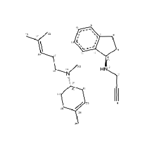 C#CCN[C@@H]1CCc2ccccc21.CC(C)=CCCN(C)[C@@H]1CC=C(C)CC1